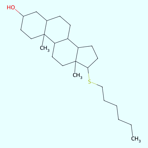 CCCCCCSC1CCC2C3CCC4CC(O)CCC4(C)C3CCC12C